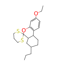 CCCC1CCC2c3ccc(OCC)cc3OC3(SCCCS3)C2C1